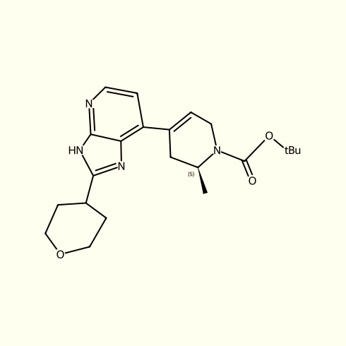 C[C@H]1CC(c2ccnc3[nH]c(C4CCOCC4)nc23)=CCN1C(=O)OC(C)(C)C